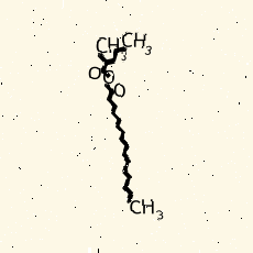 CCCCCCCCCCCCCCCCC(=O)COC(=O)C(CC)CCCC